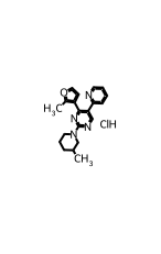 Cc1occc1-c1nc(N2CCCC(C)C2)ncc1-c1ccccn1.Cl